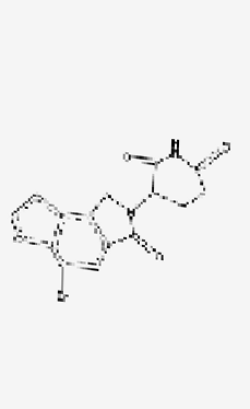 O=C1CCC(N2Cc3c(cc(Br)c4occc34)C2=O)C(=O)N1